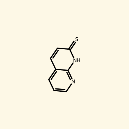 S=c1ccc2cccnc2[nH]1